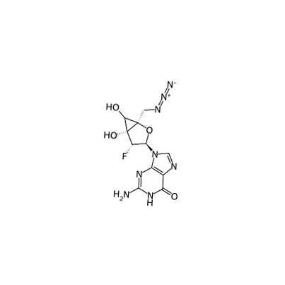 [N-]=[N+]=NC[C@]12O[C@@H](n3cnc4c(=O)[nH]c(N)nc43)[C@H](F)[C@@]1(O)C2O